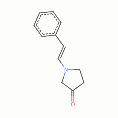 O=C1CCN(C=Cc2ccccc2)C1